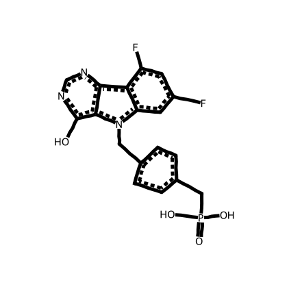 O=P(O)(O)Cc1ccc(Cn2c3cc(F)cc(F)c3c3ncnc(O)c32)cc1